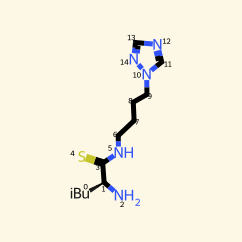 CCC(C)[C@H](N)C(=S)NCCCCn1cncn1